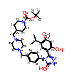 CC(C)c1cc(-c2nnc(O)n2-c2ccc(CN3CCN(CC4CCN(C(=O)OC(C)(C)C)CC4)CC3)cc2)c(O)cc1O